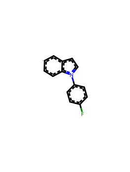 Fc1ccc(-n2ccc3c[c]ccc32)cc1